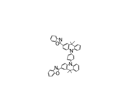 CC1(C)c2ccccc2N(c2ccc(N3c4ccccc4C(C)(C)c4cc(-c5nc6ccccc6o5)ccc43)cc2)c2ccc(-c3nc4ccccc4o3)cc21